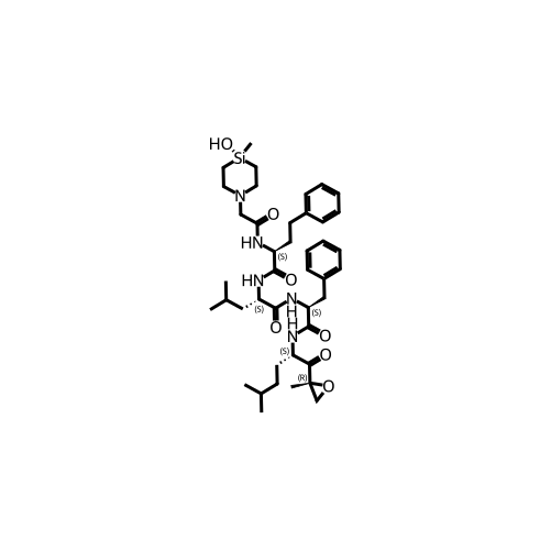 CC(C)CC[C@H](NC(=O)[C@H](Cc1ccccc1)NC(=O)[C@H](CC(C)C)NC(=O)[C@H](CCc1ccccc1)NC(=O)CN1CC[Si](C)(O)CC1)C(=O)[C@@]1(C)CO1